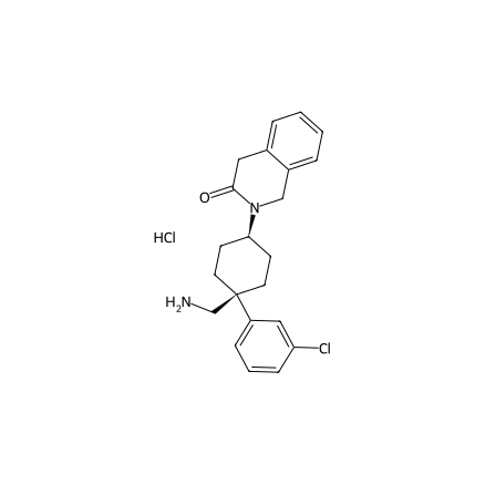 Cl.NC[C@]1(c2cccc(Cl)c2)CC[C@H](N2Cc3ccccc3CC2=O)CC1